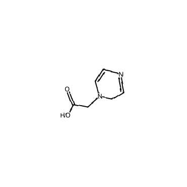 O=C(O)CN1C=CN=CC1